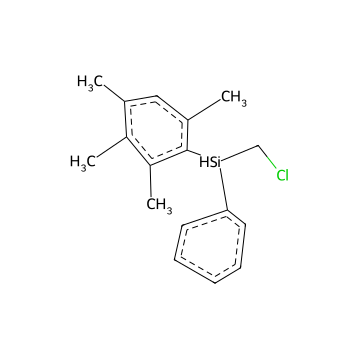 Cc1cc(C)c([SiH](CCl)c2ccccc2)c(C)c1C